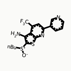 CCCC[S+]([O-])c1sc2nc(-c3cccnc3)cc(C(F)(F)F)c2c1N